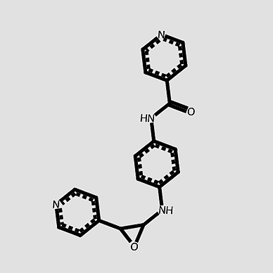 O=C(Nc1ccc(NC2OC2c2ccncc2)cc1)c1ccncc1